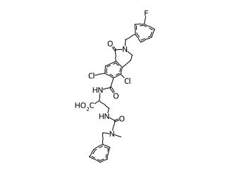 CN(Cc1ccccc1)C(=O)NCC(NC(=O)c1c(Cl)cc2c(c1Cl)CCN(Cc1cccc(F)c1)C2=O)C(=O)O